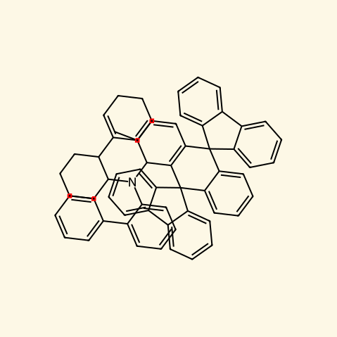 CC1C=CC2=C(C1N(c1ccccc1-c1ccccc1)C1CCCCC1C1=CCCC=C1)C1(c3ccccc3-c3ccccc31)c1ccccc1C21c2ccccc2-c2ccccc21